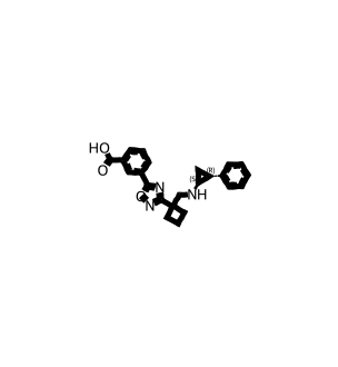 O=C(O)c1cccc(-c2nc(C3(CN[C@H]4C[C@@H]4c4ccccc4)CCC3)no2)c1